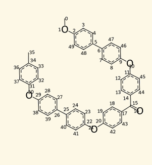 COc1ccc(-c2ccc(Oc3ccc(C(=O)c4ccc(Oc5ccc(-c6ccc(Oc7ccc(C)cc7)cc6)cc5)cc4)cc3)cc2)cc1